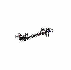 CC/C=C(\N)NC(=O)CCCC(=O)NCCOCCOCCOCCOCCNc1cccc2c1C(=O)N(C1CCC(=O)NC1=O)C2=O